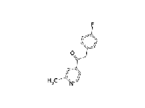 Cc1cc(C(=O)Cc2ccc(F)cc2)ccn1